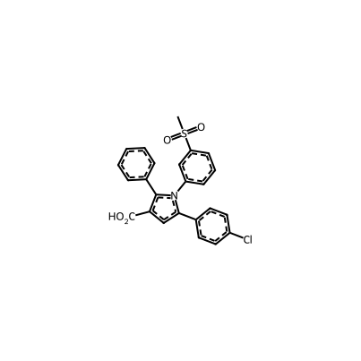 CS(=O)(=O)c1cccc(-n2c(-c3ccc(Cl)cc3)cc(C(=O)O)c2-c2ccccc2)c1